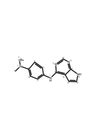 CCCCN(C)c1ccc(Nc2ncnc3[nH]ccc23)cc1